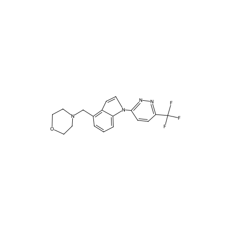 FC(F)(F)c1ccc(-n2ccc3c(CN4CCOCC4)cccc32)nn1